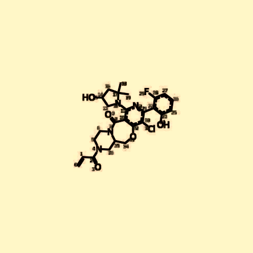 C=CC(=O)N1CCN2C(=O)c3c(N4CC(O)CC4(C)C)nc(-c4c(O)cccc4F)c(Cl)c3OCC2C1